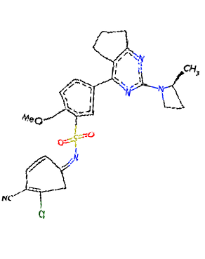 COc1ccc(-c2nc(N3CC[C@@H]3C)nc3c2CCC3)cc1S(=O)(=O)N=C1C=CC(C#N)=C(Cl)C1